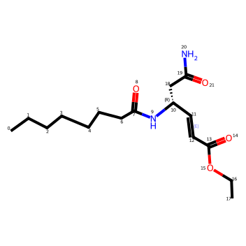 CCCCCCCC(=O)N[C@@H](/C=C/C(=O)OCC)CC(N)=O